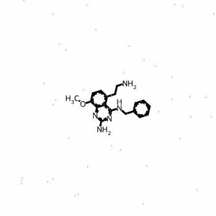 COc1ccc(CCN)c2c(NCc3ccccc3)nc(N)nc12